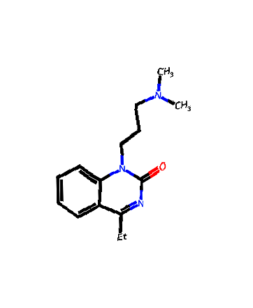 CCc1nc(=O)n(CCCN(C)C)c2ccccc12